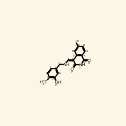 Cc1ccc(CN/C=C2\C(=O)NC(=O)c3ccc(I)cc32)cc1O